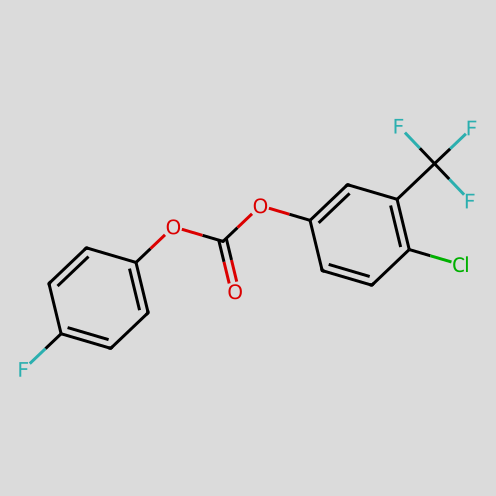 O=C(Oc1ccc(F)cc1)Oc1ccc(Cl)c(C(F)(F)F)c1